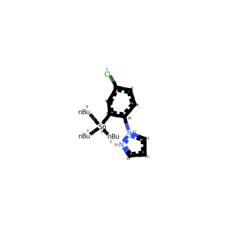 CCC[CH2][Sn]([CH2]CCC)([CH2]CCC)[c]1cc(Cl)ccc1-n1cccn1